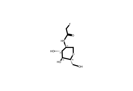 O=C(CF)N[C@H]1CO[C@H](CO)[C@@H](O)[C@@H]1O